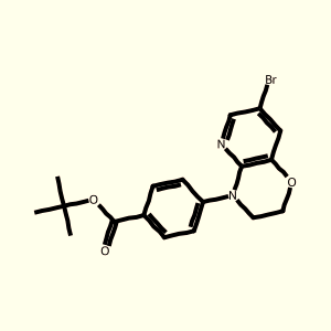 CC(C)(C)OC(=O)c1ccc(N2CCOc3cc(Br)cnc32)cc1